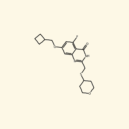 O=c1[nH]c(CSC2CCOCC2)nc2cc(OCC3CCC3)cc(F)c12